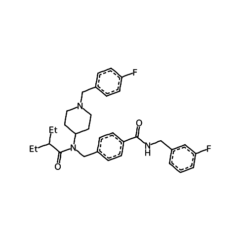 CCC(CC)C(=O)N(Cc1ccc(C(=O)NCc2cccc(F)c2)cc1)C1CCN(Cc2ccc(F)cc2)CC1